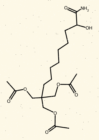 CC(=O)OCC(CCCCCCCC(O)C(N)=O)(COC(C)=O)COC(C)=O